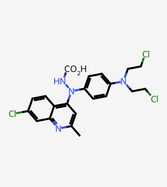 Cc1cc(N(NC(=O)O)c2ccc(N(CCCl)CCCl)cc2)c2ccc(Cl)cc2n1